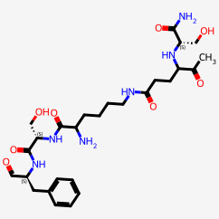 CC(=O)C(CCC(=O)NCCCCC(N)C(=O)N[C@@H](CO)C(=O)N[C@H](C=O)Cc1ccccc1)N[C@@H](CO)C(N)=O